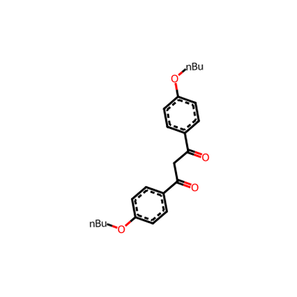 CCCCOc1ccc(C(=O)CC(=O)c2ccc(OCCCC)cc2)cc1